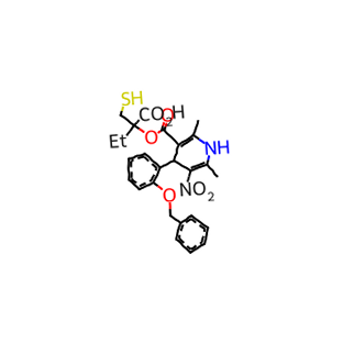 CCC(CS)(OC(=O)C1=C(C)NC(C)=C([N+](=O)[O-])C1c1ccccc1OCc1ccccc1)C(=O)O